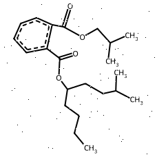 CCCCC(CCC(C)C)OC(=O)c1ccccc1C(=O)OCC(C)C